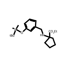 CCOC(=O)C1(NCc2cccc(O[Si](C)(C)C(C)(C)C)c2)CCCC1